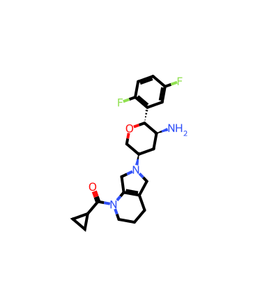 N[C@H]1C[C@@H](N2CC3=C(C2)N(C(=O)C2CC2)CCC3)CO[C@@H]1c1cc(F)ccc1F